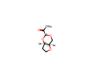 COC(=O)[C@H]1OC[C@H]2OCC[C@H]2O1